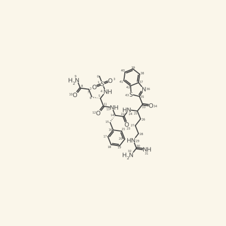 CS(=O)(=O)N[C@@H](CCC(N)=O)C(=O)N[C@@H](Cc1ccccc1)C(=O)NC(CCCNC(=N)N)C(=O)c1nc2ccccc2s1